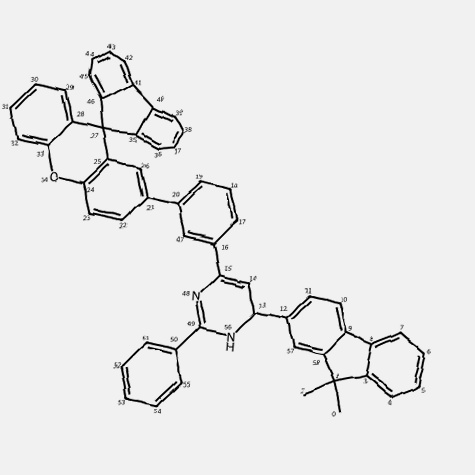 CC1(C)c2ccccc2-c2ccc(C3C=C(c4cccc(-c5ccc6c(c5)C5(c7ccccc7O6)c6ccccc6-c6ccccc65)c4)N=C(c4ccccc4)N3)cc21